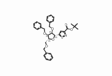 CC(C)(C)OC(=O)c1cc([C@@H]2O[C@H](COCc3ccccc3)[C@@H](OCc3ccccc3)[C@H]2OCc2ccccc2)sn1